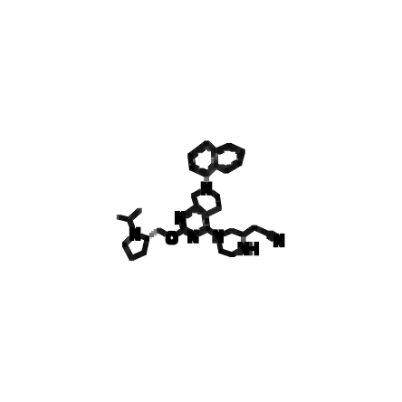 CC(C)N1CCC[C@H]1COc1nc2c(c(N3CCNC(CC#N)C3)n1)CCN(c1cccc3ccccc13)C2